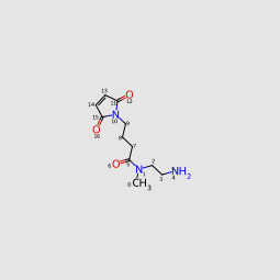 CN(CCN)C(=O)CCCN1C(=O)C=CC1=O